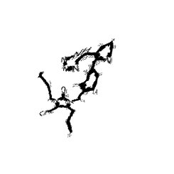 CCCCn1c(Cl)c(CCC)n(Cc2ccc(-c3ncccc3-c3nnn[nH]3)cc2)c1=O